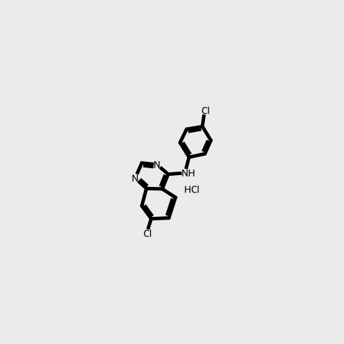 Cl.Clc1ccc(Nc2ncnc3cc(Cl)ccc23)cc1